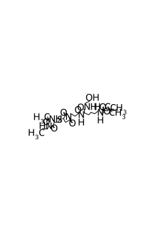 CCCNC(=O)C(CSC1CC(=O)N(CCC(=O)NC(CCCCNC(=O)OC(C)(C)C)C(=O)NCCO)C1=O)NC(C)=O